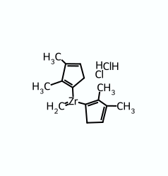 Cl.Cl.[CH2]=[Zr]([C]1=C(C)C(C)=CC1)[C]1=C(C)C(C)=CC1